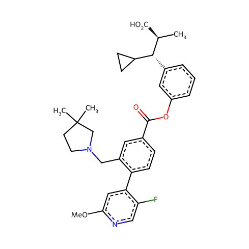 COc1cc(-c2ccc(C(=O)Oc3cccc([C@H](C4CC4)[C@H](C)C(=O)O)c3)cc2CN2CCC(C)(C)C2)c(F)cn1